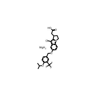 CC(C)Oc1ccc(COc2ccc3c(c2)c(Cl)c2n3CCC2CC(=O)O)cc1C(F)(F)F.[MgH2]